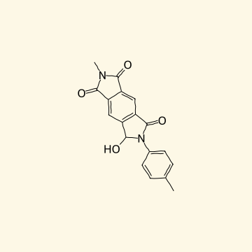 Cc1ccc(N2C(=O)c3cc4c(cc3C2O)C(=O)N(C)C4=O)cc1